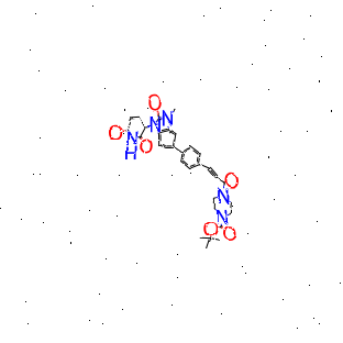 Cn1c(=O)n(C2CCC(=O)NC2=O)c2ccc(-c3ccc(C#CC(=O)N4CCN(C(=O)OC(C)(C)C)CC4)cc3)cc21